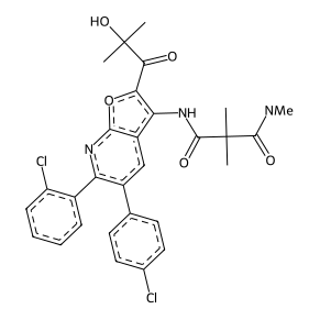 CNC(=O)C(C)(C)C(=O)Nc1c(C(=O)C(C)(C)O)oc2nc(-c3ccccc3Cl)c(-c3ccc(Cl)cc3)cc12